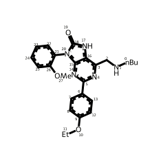 CCCCNCc1nc(-c2ccc(OCC)cc2)nc2c1[nH]c(=O)n2-c1ccccc1OC